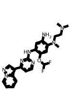 CN(C)CCN(C)c1cc(OC(F)F)c(Nc2nccc(-c3cnn4ccccc34)n2)cc1N